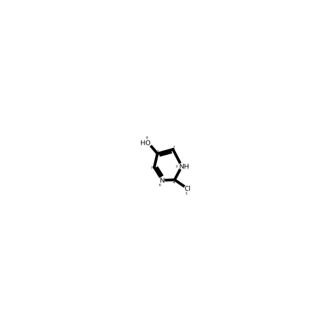 OC1=CNC(Cl)N=C1